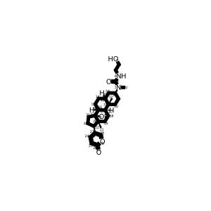 CN(C(=O)NCCO)[C@H]1CC[C@@]2(C)[C@H](CC[C@@H]3[C@@H]2CC[C@]2(C)[C@@H](c4ccc(=O)oc4)CC[C@]32O)C1